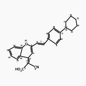 N#C/C(C(=O)O)=C1C=C(/C=C/c2ccc(N3CCCCC3)cc2)Oc2ccccc2\1